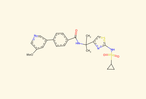 COc1cncc(-c2ccc(C(=O)NC(C)(C)c3csc(NS(=O)(=O)C4CC4)n3)cc2)c1